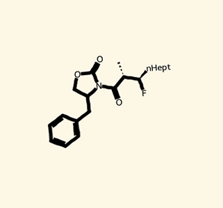 CCCCCCC[C@@H](F)[C@@H](C)C(=O)N1C(=O)OCC1Cc1ccccc1